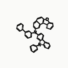 c1ccc(-c2cccc(N(c3ccc4ccc5oc6ccccc6c5c4c3)c3ccc4c5ccccc5n(-c5ccccc5)c4c3)c2)cc1